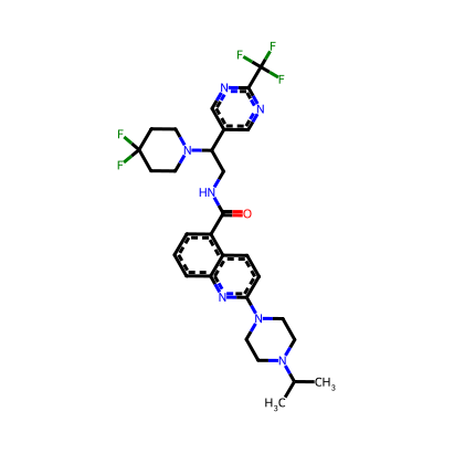 CC(C)N1CCN(c2ccc3c(C(=O)NCC(c4cnc(C(F)(F)F)nc4)N4CCC(F)(F)CC4)cccc3n2)CC1